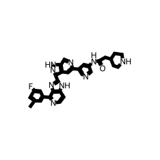 Cc1cc(F)cc(-c2nccc3[nH]c(-c4n[nH]c5cnc(-c6cncc(NC(=O)CC7CCNCC7)c6)cc45)nc23)c1